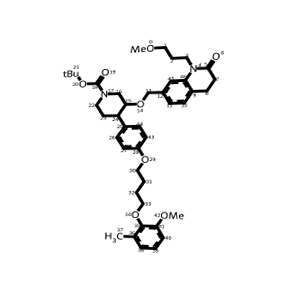 COCCCN1C(=O)CCc2ccc(COC3CN(C(=O)OC(C)(C)C)CCC3c3ccc(OCCCCOc4c(C)cccc4OC)cc3)cc21